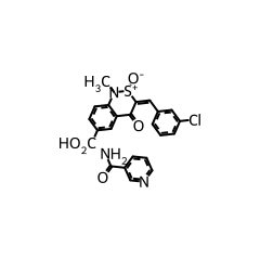 CN1c2ccc(C(=O)O)cc2C(=O)/C(=C\c2cccc(Cl)c2)[S+]1[O-].NC(=O)c1cccnc1